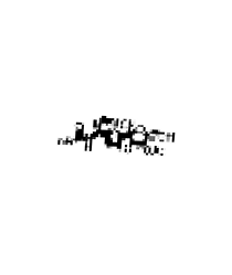 CCCC(=O)Nc1ncnn2c([C@]3(C#N)O[C@H](CO)[C@@H](OC(C)=O)[C@H]3O)ccc12